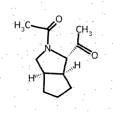 CC(=O)[C@@H]1[C@H]2CCC[C@H]2CN1C(C)=O